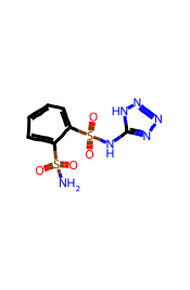 NS(=O)(=O)c1ccccc1S(=O)(=O)Nc1nnn[nH]1